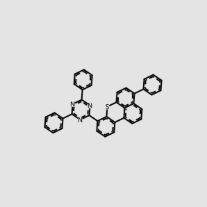 c1ccc(-c2nc(-c3ccccc3)nc(-c3cccc4c3Sc3ccc(-c5ccccc5)c5cccc-4c35)n2)cc1